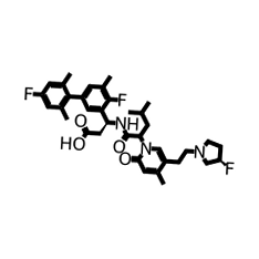 Cc1cc(=O)n(C(CC(C)C)C(=O)N[C@@H](CC(=O)O)c2cc(-c3c(C)cc(F)cc3C)cc(C)c2F)cc1CCN1CC[C@@H](F)C1